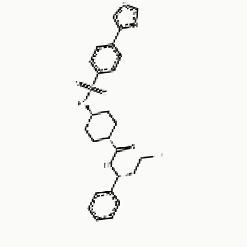 O=C(N[C@H](CCO)c1ccccc1)[C@H]1CC[C@H](NS(=O)(=O)c2ccc(-c3cocn3)cc2)CC1